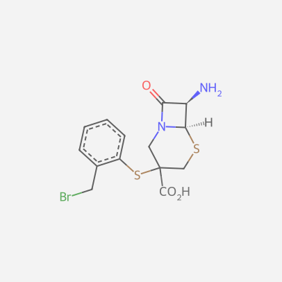 N[C@@H]1C(=O)N2CC(Sc3ccccc3CBr)(C(=O)O)CS[C@H]12